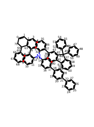 C1=Cc2cccc(-c3ccccc3N(c3ccc(-c4ccc(-c5ccccc5)cc4)cc3)c3ccccc3-c3ccc4c(c3)C(c3ccccc3)(c3ccccc3)c3ccccc3-4)c2C(c2ccccc2)C1